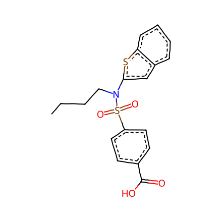 CCCCN(c1cc2ccccc2s1)S(=O)(=O)c1ccc(C(=O)O)cc1